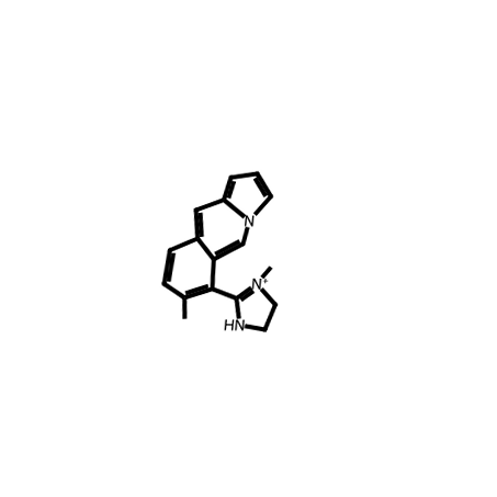 Cc1ccc2cc3cccn3cc2c1C1=[N+](C)CCN1